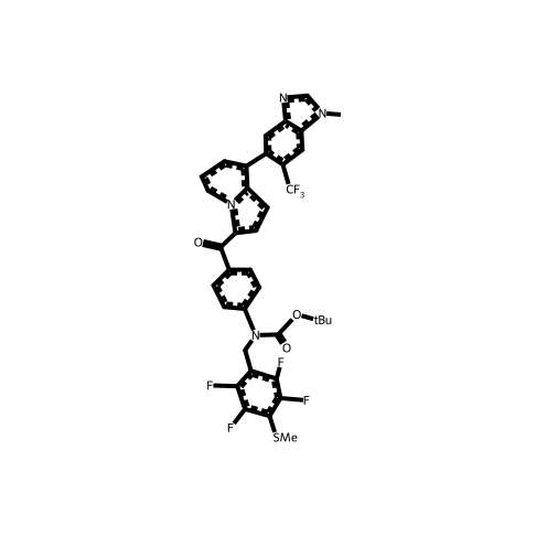 CSc1c(F)c(F)c(CN(C(=O)OC(C)(C)C)c2ccc(C(=O)c3ccc4c(-c5cc6ncn(C)c6cc5C(F)(F)F)cccn34)cc2)c(F)c1F